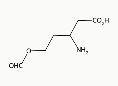 NC(CCOC=O)CC(=O)O